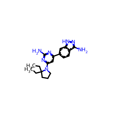 CCC1(CC)CCCN1c1cc(-c2ccc3c(N)n[nH]c3c2)nc(N)n1